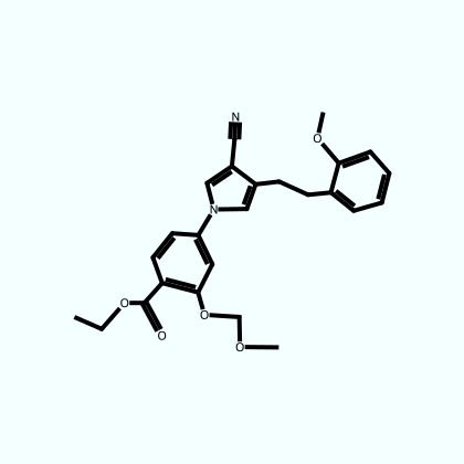 CCOC(=O)c1ccc(-n2cc(C#N)c(CCc3ccccc3OC)c2)cc1OCOC